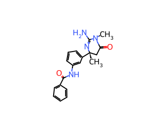 CN1C(=O)C[C@](C)(c2cccc(NC(=O)c3ccccc3)c2)N=C1N